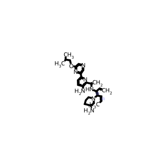 C=C/C(NC(=C)c1nc(-c2cncc(OCC(C)C)n2)ccc1N)=C(\C=C/C)N1CCC[C@H](N)C1